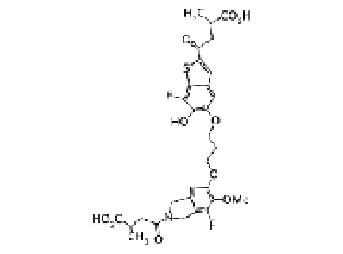 COc1c(OCCCOc2cc3cc(C(=O)CC(C)C(=O)O)sc3c(F)c2O)cc2c(c1F)CN(C(=O)CC(C)C(=O)O)C2